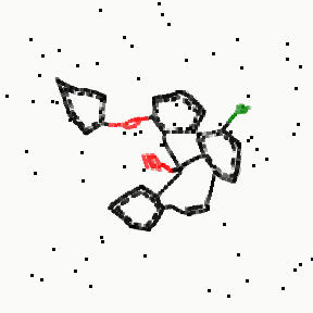 OC1(c2ccccc2Oc2ccccc2)c2ccccc2C=Cc2ccc(Br)cc21